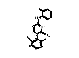 Cc1ccccc1Nc1ncn(-c2c(C)cccc2C)c(=O)n1